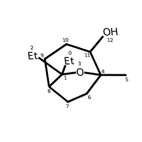 CCC1(CC)OC2(C)CCC1CCC2O